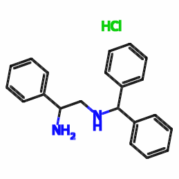 Cl.NC(CNC(c1ccccc1)c1ccccc1)c1ccccc1